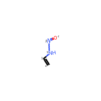 C=CNN=O